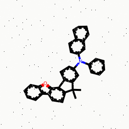 CC1(C)c2cc(N(c3ccccc3)c3ccc4ccccc4c3)ccc2-c2c1ccc1c2oc2ccccc21